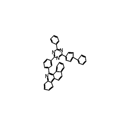 c1ccc(-c2ccc(-c3nc(-c4ccccc4)nc(-c4cccc(-c5nc6ccccc6c6ccc7ccccc7c56)c4)n3)cc2)cc1